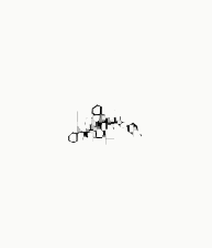 O=C(CSc1ccncc1)N[C@@H](Cc1ccccc1)C(=O)N1CCCC1C(O)C(=O)NC1CCCCC1